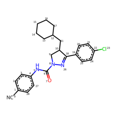 N#Cc1ccc(NC(=O)N2CC(CC3CCCCC3)C(c3ccc(Cl)cc3)=N2)cc1